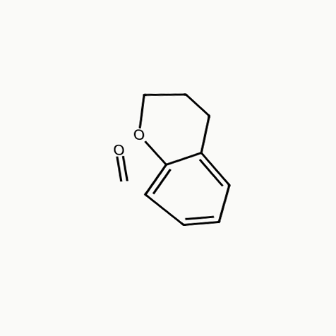 C=O.c1ccc2c(c1)CCCO2